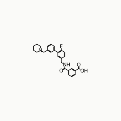 O=C(O)c1cccc(C(=O)NCc2ccc(F)c(-c3cccc(CN4CCCCC4)c3)c2)c1